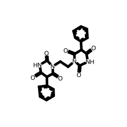 O=C1NC(=O)N(CCN2C(=O)NC(=O)C(c3ccccc3)C2=O)C(=O)C1c1ccccc1